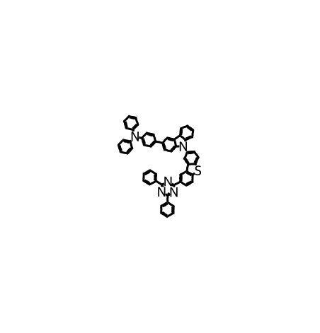 c1ccc(-c2nc(-c3ccccc3)nc(-c3ccc4sc5ccc(-n6c7ccccc7c7cc(-c8ccc(N(c9ccccc9)c9ccccc9)cc8)ccc76)cc5c4c3)n2)cc1